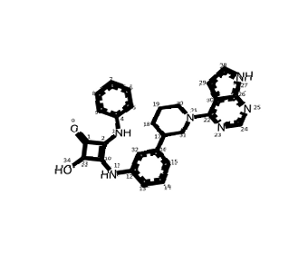 O=C1C(Nc2ccccc2)=C(Nc2cccc(C3CCCN(c4ncnc5[nH]ccc45)C3)c2)C1O